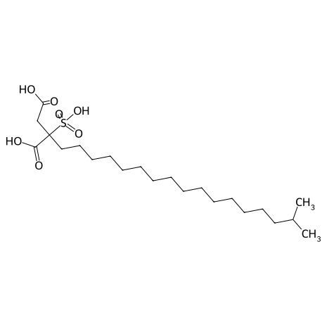 CC(C)CCCCCCCCCCCCCCCC(CC(=O)O)(C(=O)O)S(=O)(=O)O